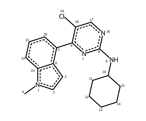 Cn1ccc2c(-c3nc(NC4CCCCC4)ncc3Cl)cccc21